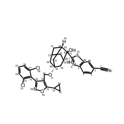 N#Cc1ccc2nc([C@]3(O)[C@@H]4CC5C[C@H]3C[C@](OCc3c(-c6c(Cl)cccc6Cl)noc3C3CC3)(C5)C4)sc2c1